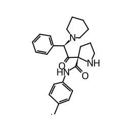 [CH2]c1ccc(NC(=O)[C@@]2(C(=O)[C@@H](c3ccccc3)N3CCCCC3)CCCN2)cc1